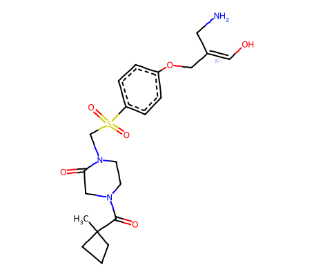 CC1(C(=O)N2CCN(CS(=O)(=O)c3ccc(OC/C(=C/O)CN)cc3)C(=O)C2)CCC1